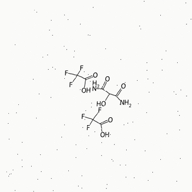 NC(=O)C(O)C(N)=O.O=C(O)C(F)(F)F.O=C(O)C(F)(F)F